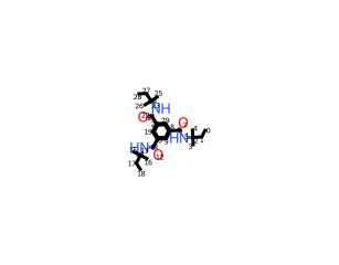 CCC(C)(C)NC(=O)c1cc(C(=O)NC(C)(C)CC)cc(C(=O)NC(C)(C)CC)c1